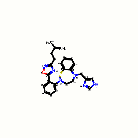 CC(C)CCc1noc(-c2ccccc2N2CCN(Cc3c[nH]cn3)c3ccccc3S2)n1